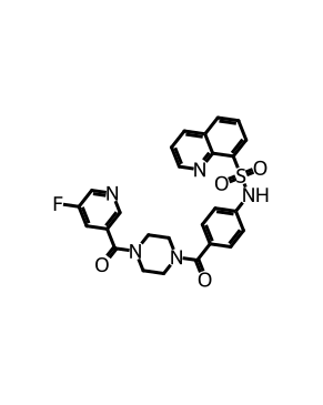 O=C(c1ccc(NS(=O)(=O)c2cccc3cccnc23)cc1)N1CCN(C(=O)c2cncc(F)c2)CC1